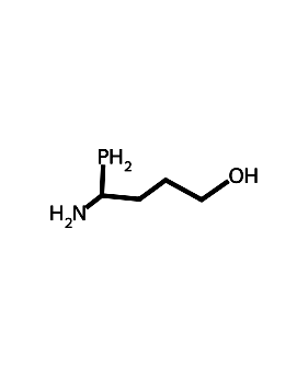 NC(P)CCCO